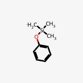 [CH2][Si](C)(C)Oc1ccccc1